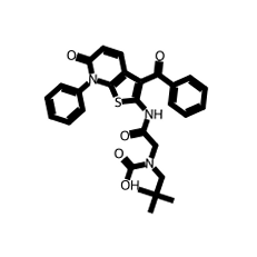 CC(C)(C)CN(CC(=O)Nc1sc2c(ccc(=O)n2-c2ccccc2)c1C(=O)c1ccccc1)C(=O)O